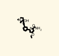 C=C1N(C)CC[C@@]1(O)C#Cc1cccc(-c2cc(OCC)cc(C(N)=O)n2)c1